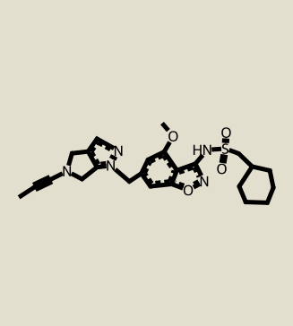 CC#CN1Cc2cnn(Cc3cc(OC)c4c(NS(=O)(=O)CC5CCCCC5)noc4c3)c2C1